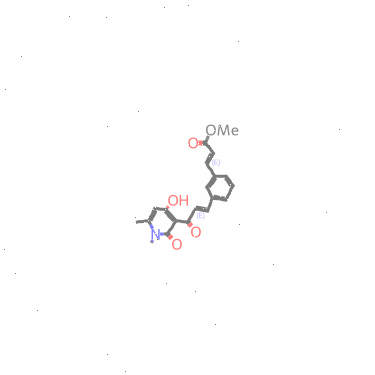 COC(=O)/C=C/c1cccc(/C=C/C(=O)c2c(O)cc(C)n(C)c2=O)c1